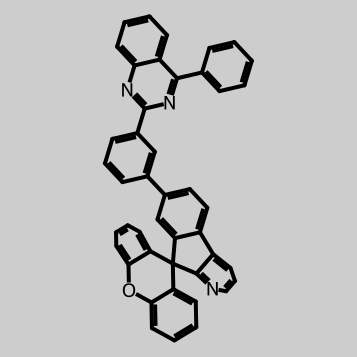 c1ccc(-c2nc(-c3cccc(-c4ccc5c(c4)C4(c6ccccc6Oc6ccccc64)c4ncccc4-5)c3)nc3ccccc23)cc1